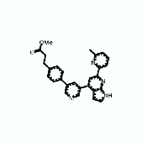 COC(=O)CCc1ccc(-c2cncc(-c3cc(-c4cccc(C)n4)nc4[nH]ccc34)c2)cc1